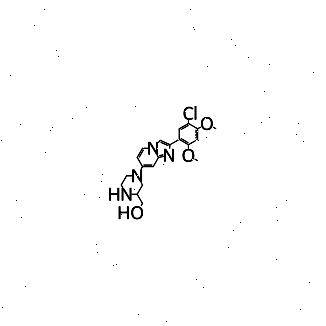 COc1cc(OC)c(-c2cn3ccc(N4CCNC(CO)C4)cc3n2)cc1Cl